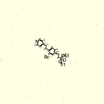 CCOP(=O)(CC[n+]1ccc(CCc2ccncc2)cc1)OCC.[Br-]